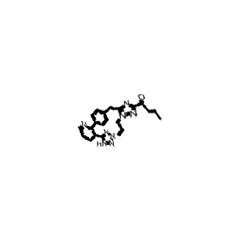 CCCC(=O)c1nc(Cc2ccc(-c3ncccc3-c3nnn[nH]3)cc2)n(CCC)n1